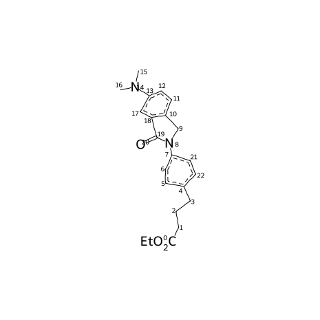 CCOC(=O)CCCc1ccc(N2Cc3ccc(N(C)C)cc3C2=O)cc1